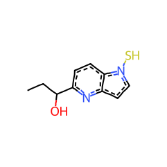 CCC(O)c1ccc2c(ccn2S)n1